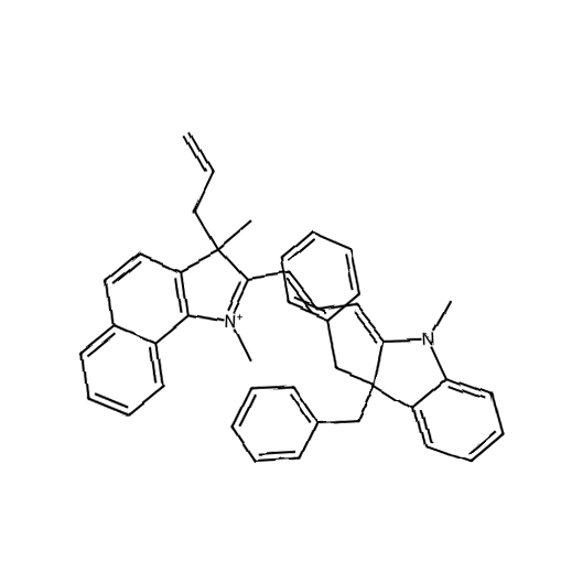 C=CCC1(C)C(/C=C/C=C2/N(C)c3ccccc3C2(Cc2ccccc2)Cc2ccccc2)=[N+](C)c2c1ccc1ccccc21